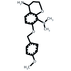 COc1ccc(COc2ccc3c(c2N(C)C)OCCC3N)cc1